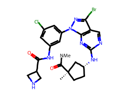 CNC(=O)[C@]1(C)CC[C@@H](Nc2ncc3c(Br)nn(-c4cc(Cl)cc(NC(=O)C5CNC5)c4)c3n2)C1